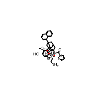 COc1cccc(OC)c1C12CC3CC(c4cccc5ccccc45)(C1)C(C(=O)O)C(NC(=O)n1cccn1)(C3)C2NS(=O)(=O)CCN.Cl